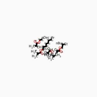 C=C(C)C(=O)O.C=C(C)C(=O)OCC(C)C.C=C(C)C(=O)OCC(CC)CCCC.C=C(C)C(=O)OCCCCCCCC(C)C.C=C(C)C(=O)OCCCCCCCCCCCC